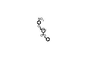 O=C(OCc1ccccc1)C(/C=N\O)CCCCOc1ccc([N+](=O)[O-])cc1